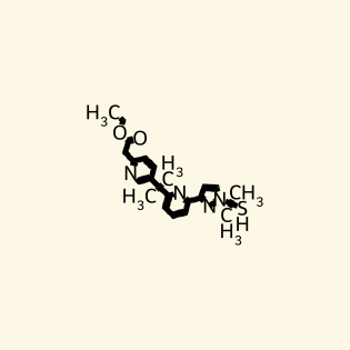 CCOC(=O)Cc1ccc(C(C)(C)c2cccc(-c3ccn(C(C)(C)S)n3)n2)cn1